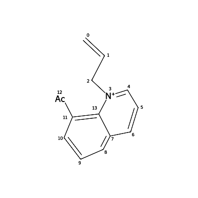 C=CC[n+]1cccc2cccc(C(C)=O)c21